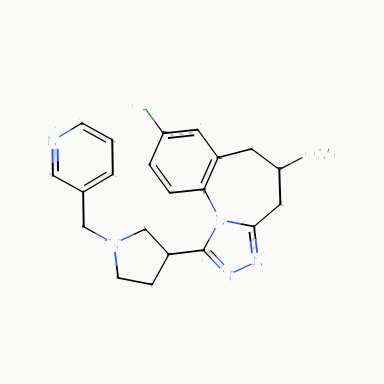 COC1Cc2cc(Cl)ccc2-n2c(nnc2C2CCN(Cc3cccnc3)C2)C1